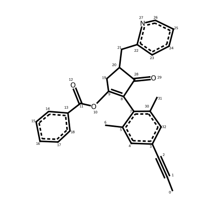 CC#Cc1cc(C)c(C2=C(OC(=O)c3ccccc3)CC(Cc3ccccn3)C2=O)c(C)c1